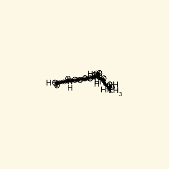 CN[C@@H](CCCCNC(=O)CC[C@H](NC(=O)CCOCCOCCOCCOCCNC(=O)CCCCCCC(=O)O)C(=O)O)C(=O)O